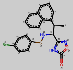 C[C@H](c1cccc2ccccc12)[C@H](NSc1ccc(Br)cc1)c1noc(=O)[nH]1